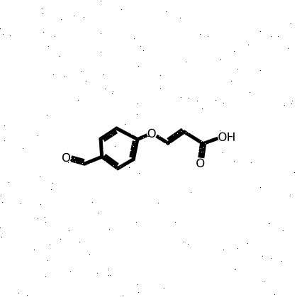 O=Cc1ccc(OC=CC(=O)O)cc1